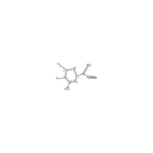 COC(=O)c1cc(Cl)c(C)c(I)c1